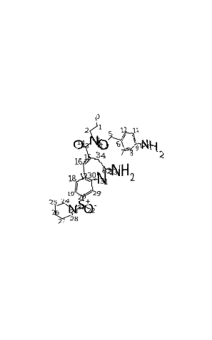 CCCN(OCc1ccc(N)cc1)C(=O)C1=Cc2ccc([S+]([O-])N3CCCCC3)cc2N=C(N)C1